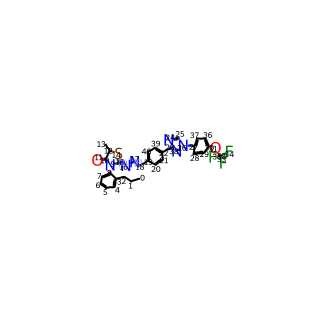 CCCc1ccccc1N1C(=O)C(C)S/C1=N\N=C\c1ccc(-c2ncn(-c3ccc(OC(F)(F)F)cc3)n2)cc1